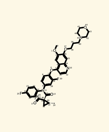 COc1cc2c(Oc3ccc(N(C(=O)[C@]4(C(N)=O)C[C@H]4C)c4ccc(F)cc4)cc3F)ccnc2cc1OCCCN1CCOCC1